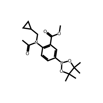 COC(=O)c1cc(B2OC(C)(C)C(C)(C)O2)ccc1N(CC1CC1)C(C)=O